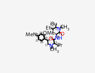 CCC(C)C(C(CC)OC)N(C)C(=O)CNC(=O)C(C(C)C)N(C)CCc1ccc(NC)cc1